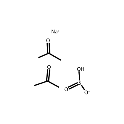 CC(C)=O.CC(C)=O.O=S([O-])O.[Na+]